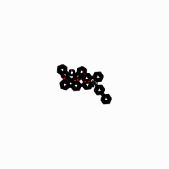 c1ccc(-c2ccc(N(c3ccc(-c4ccc5c(c4)C4(c6ccccc6-5)c5ccc6ccccc6c5Oc5c4ccc4ccccc54)cc3)c3ccccc3-c3ccccc3)cc2)cc1